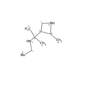 CCC(C)CNC(C)(C)C1CNC1C